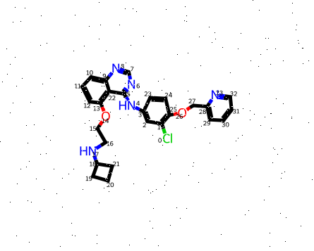 Clc1cc(Nc2ncnc3cccc(OCCNC4CCC4)c23)ccc1OCc1ccccn1